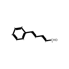 O=CC=CC=Cc1ccccc1